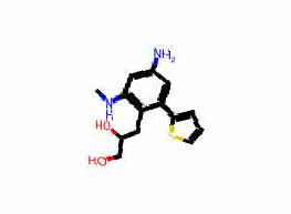 CNc1cc(N)cc(-c2cccs2)c1CC(O)CO